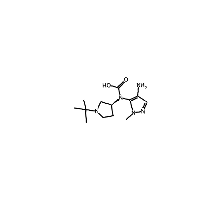 Cn1ncc(N)c1N(C(=O)O)[C@H]1CCN(C(C)(C)C)C1